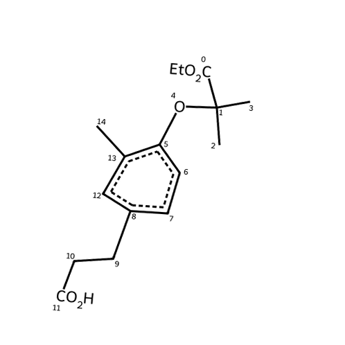 CCOC(=O)C(C)(C)Oc1ccc(CCC(=O)O)cc1C